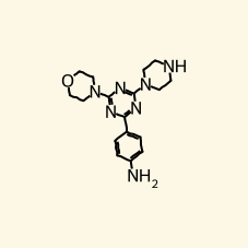 Nc1ccc(-c2nc(N3CCNCC3)nc(N3CCOCC3)n2)cc1